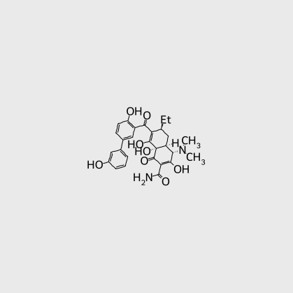 CC[C@H]1C[C@H]2[C@H](N(C)C)C(O)=C(C(N)=O)C(=O)[C@@]2(O)C(O)=C1C(=O)c1cc(-c2cccc(O)c2)ccc1O